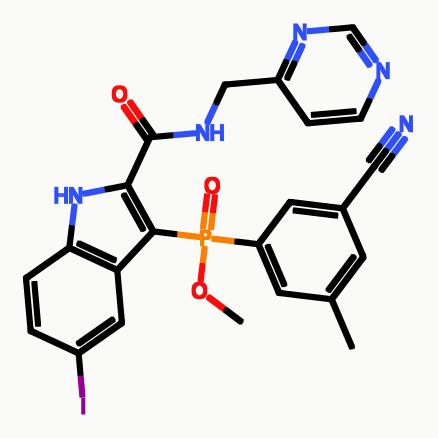 COP(=O)(c1cc(C)cc(C#N)c1)c1c(C(=O)NCc2ccncn2)[nH]c2ccc(I)cc12